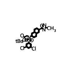 Cc1noc(-c2ccc3cc(N(CC(=O)OC(C)(C)C)S(=O)(=O)c4cc(Cl)cc(Cl)c4)ccc3c2)n1